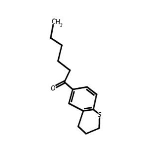 CCCCCC(=O)c1ccc2c(c1)CCCS2